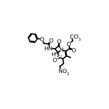 CC1=C(C(=O)OCC(Cl)(Cl)Cl)N2C(=O)C(NC(=O)COc3ccccc3)[C@@H]2[S+]([O-])C1CC[N+](=O)[O-]